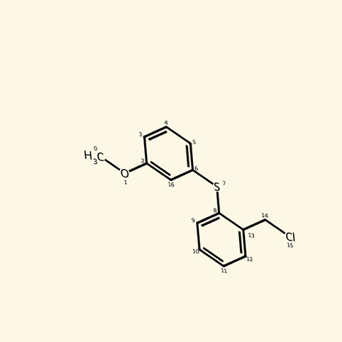 COc1cccc(Sc2ccccc2CCl)c1